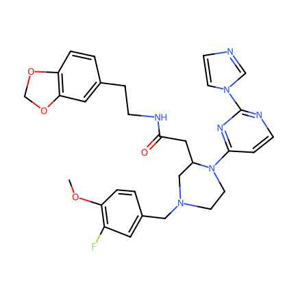 COc1ccc(CN2CCN(c3ccnc(-n4ccnc4)n3)C(CC(=O)NCCc3ccc4c(c3)OCO4)C2)cc1F